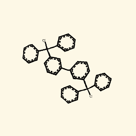 ClC(c1ccccc1)(c1ccccc1)c1cccc(-c2cccc(C(Cl)(c3ccccc3)c3ccccc3)c2)c1